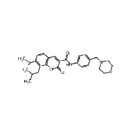 COc1ccc2cc(C(=O)Nc3ccc(CN4CCOCC4)cc3)c(=O)oc2c1CC(C)C